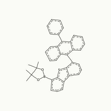 CC1(C)OB(c2cccc3c2sc2c(-c4c5ccccc5c(-c5ccccc5)c5ccccc45)cccc23)OC1(C)C